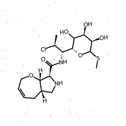 CSC1O[C@H]([C@H](NC(=O)[C@H]2NC[C@@H]3CC=CCO[C@@H]32)[C@H](C)Cl)C(O)[C@@H](O)[C@H]1O